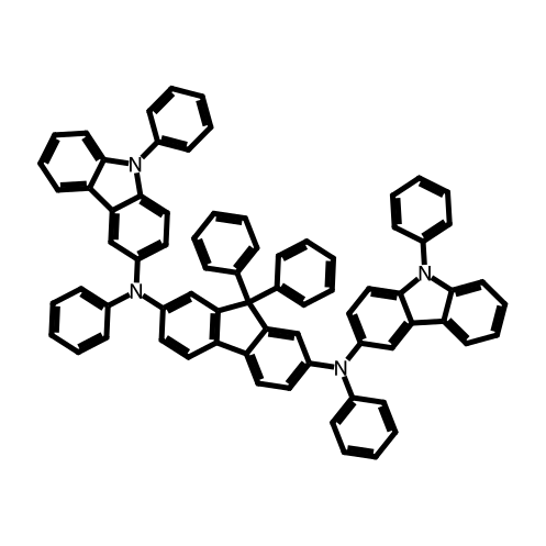 c1ccc(N(c2ccc3c(c2)C(c2ccccc2)(c2ccccc2)c2cc(N(c4ccccc4)c4ccc5c(c4)c4ccccc4n5-c4ccccc4)ccc2-3)c2ccc3c(c2)c2ccccc2n3-c2ccccc2)cc1